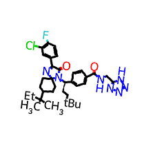 CCC(C)(C)C1CCC2(CC1)N=C(c1ccc(F)c(Cl)c1)C(=O)N2[C@H](CCC(C)(C)C)c1ccc(C(=O)NCc2nnn[nH]2)cc1